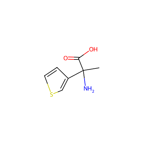 CC(N)(C(=O)O)c1ccsc1